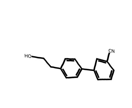 N#Cc1cccc(-c2ccc(CCO)cc2)c1